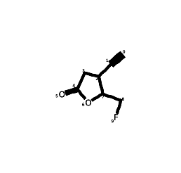 C#CC1CC(=O)OC1CF